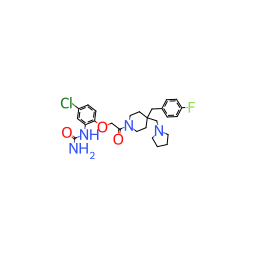 NC(=O)Nc1cc(Cl)ccc1OCC(=O)N1CCC(Cc2ccc(F)cc2)(CN2CCCC2)CC1